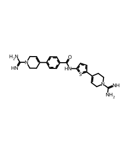 N=C(N)N1CC=C(c2ccc(C(=O)Nc3ccc(C4=CCN(C(=N)N)CC4)s3)cc2)CC1